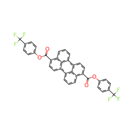 O=C(Oc1ccc(C(F)(F)F)cc1)c1ccc2c3cccc4c(C(=O)Oc5ccc(C(F)(F)F)cc5)ccc(c5cccc1c52)c43